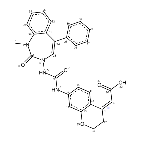 CN1C(=O)N(NC(=O)Nc2ccc3c(c2)OCC/C3=C/C(=O)O)C=C(c2ccccc2)c2ccccc21